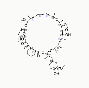 COC1C[C@@H]2CC[C@@H](C)[C@@](O)(O2)C(=O)C(=O)N2CCCC[C@H]2C(=O)O[C@H]([C@H](C)C[C@@H]2CC[C@@H](O)[C@H](OC)C2)CC(=O)[C@H](C)/C=C(\C)[C@@H](O)[C@@H](OC)C(=O)[C@H](C)C[C@H](C)/C=C/C=C/C=C/1C